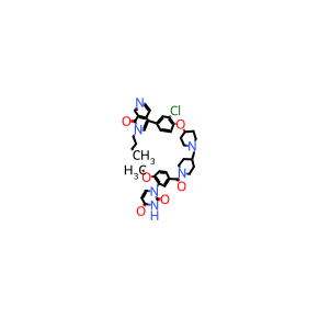 CCCCn1cc(-c2ccc(OC3CCN(CC4CCN(C(=O)c5ccc(OC)c(-n6ccc(=O)[nH]c6=O)c5)CC4)CC3)c(Cl)c2)c2ccncc2c1=O